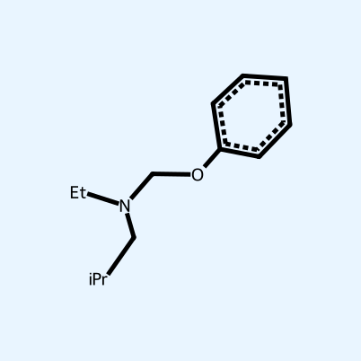 CCN(COc1ccccc1)CC(C)C